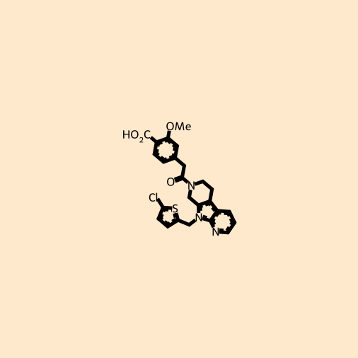 COc1cc(CC(=O)N2CCc3c(n(Cc4ccc(Cl)s4)c4ncccc34)C2)ccc1C(=O)O